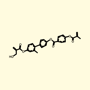 C=C(C)C(=O)Oc1ccc(C(=O)Oc2ccc(-c3ccc(OC(=O)C(=C)CO)cc3C)cc2)cc1